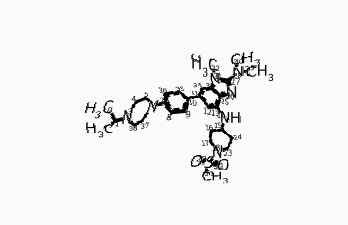 CC(C)N1CCN(c2ccc(-c3cc(NC4CCN(S(C)(=O)=O)CC4)c4nc(N(C)C)n(C)c4c3)cc2)CC1